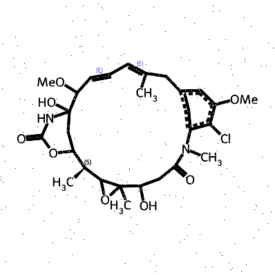 COc1cc2cc(c1Cl)N(C)C(=O)CC(O)C1(C)OC1[C@@H](C)C1CC(O)(NC(=O)O1)C(OC)/C=C/C=C(\C)C2